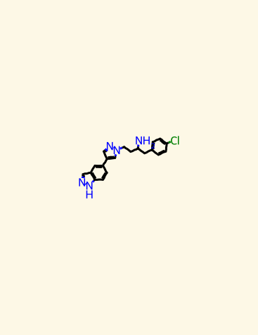 NC(CCn1cc(-c2ccc3[nH]ncc3c2)cn1)Cc1ccc(Cl)cc1